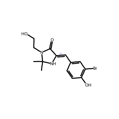 CC1(C)N/C(=C\c2ccc(O)c(Br)c2)C(=O)N1CCO